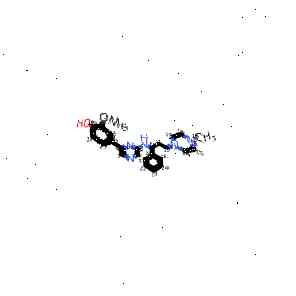 COc1cc(-c2cncc(NC(CCN3CCN(C)CC3)c3ccccc3)n2)ccc1O